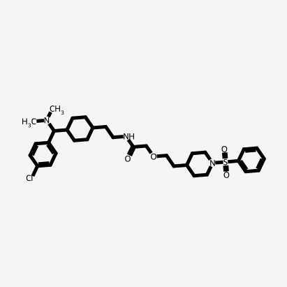 CN(C)C(c1ccc(Cl)cc1)C1CCC(CCNC(=O)COCCC2CCN(S(=O)(=O)c3ccccc3)CC2)CC1